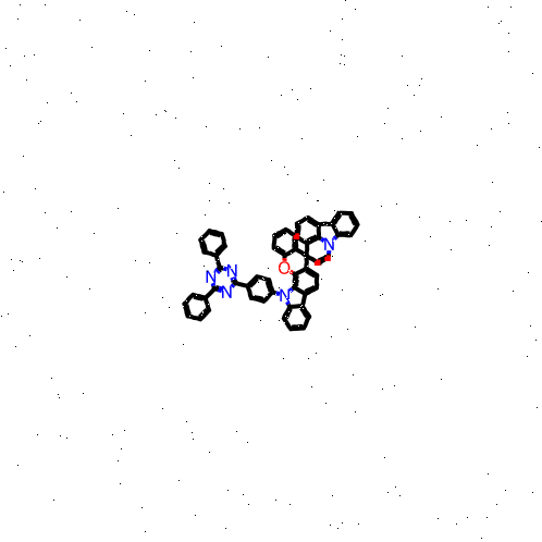 c1ccc(-c2nc(-c3ccccc3)nc(-c3ccc(-n4c5ccccc5c5ccc6c(c54)Oc4ccccc4C64c5ccccc5-n5c6ccccc6c6cccc4c65)cc3)n2)cc1